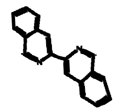 [c]1nc(-c2cc3ccccc3[c]n2)cc2ccccc12